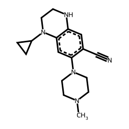 CN1CCN(c2cc3c(cc2C#N)NCCN3C2CC2)CC1